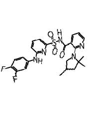 CC1CN(c2ncccc2C(=O)NS(=O)(=O)c2cccc(Nc3ccc(F)c(F)c3)n2)C(C)(C)C1